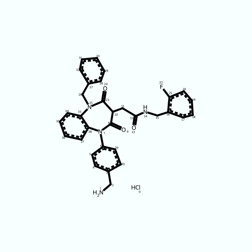 Cl.NCc1ccc(N2C(=O)C(CC(=O)NCc3ccccc3F)C(=O)N(Cc3ccccc3)c3ccccc32)cc1